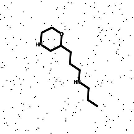 CCCNCCCC1CNCCO1